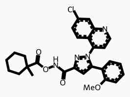 COc1ccccc1-c1cc(C(=O)NOC(=O)C2(C)CCCCC2)nn1-c1ccnc2cc(Cl)ccc12